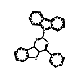 c1ccc(C2=NC(n3c4ccccc4c4ccccc43)=NC3c4ccccc4OC23)cc1